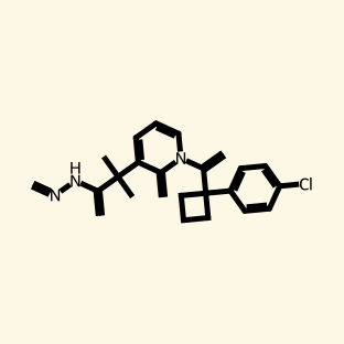 C=NNC(=C)C(C)(C)C1=CC=CN(C(=C)C2(c3ccc(Cl)cc3)CCC2)C1=C